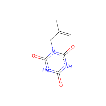 C=C(C)Cn1c(=O)[nH]c(=O)[nH]c1=O